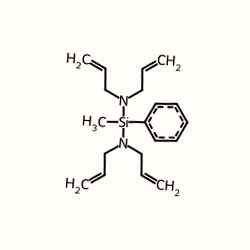 C=CCN(CC=C)[Si](C)(c1ccccc1)N(CC=C)CC=C